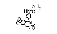 CC(=O)N1N=C(c2ccc(NC(=O)CN)cc2)c2cc3c(cc2CC1C)OCO3